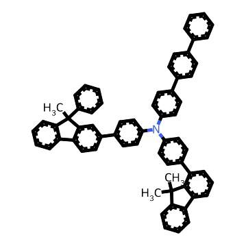 CC1(C)c2ccccc2-c2cccc(-c3ccc(N(c4ccc(-c5ccc(-c6ccccc6)cc5)cc4)c4ccc(-c5ccc6c(c5)C(C)(c5ccccc5)c5ccccc5-6)cc4)cc3)c21